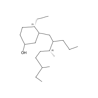 CCCC(CC1CC(O)CC[C@@H]1CC)[C@H](C)CCC(C)CC